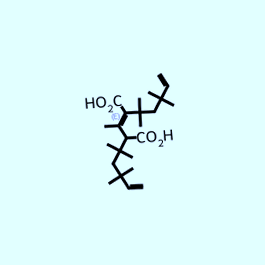 C=CC(C)(C)CC(C)(C)/C(C(=O)O)=C(/C)C(C(=O)O)C(C)(C)CC(C)(C)C=C